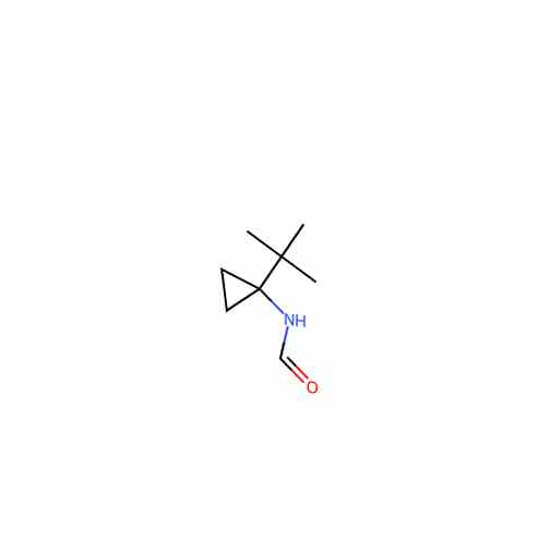 CC(C)(C)C1(NC=O)CC1